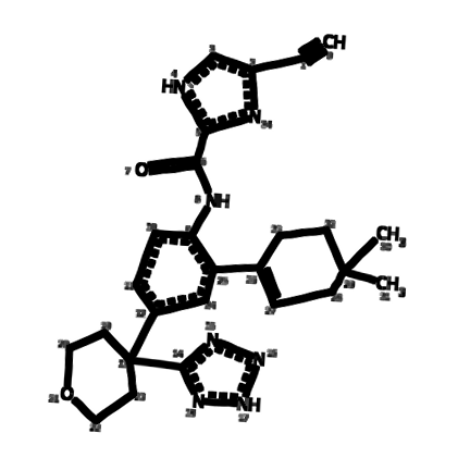 C#Cc1c[nH]c(C(=O)Nc2ccc(C3(c4nn[nH]n4)CCOCC3)cc2C2=CCC(C)(C)CC2)n1